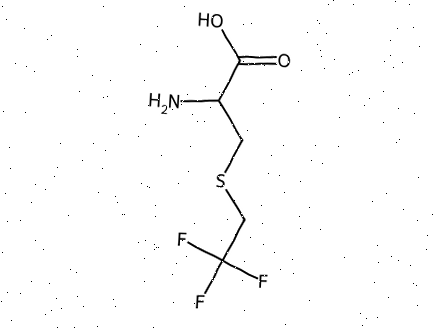 NC(CSCC(F)(F)F)C(=O)O